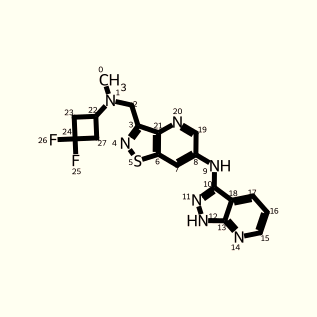 CN(Cc1nsc2cc(Nc3n[nH]c4ncccc34)cnc12)C1CC(F)(F)C1